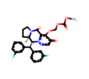 COC(=O)OCOc1c2n(ncc1=O)[C@@H](C(c1cccc(F)c1)c1cccc(F)c1)[C@H]1CCCN1C2=O